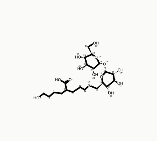 O=C(O)C(CCCCO)CCCSC[C@H]1O[C@H](O[C@H]2O[C@H](CO)[C@@H](O)[C@H](O)[C@H]2O)[C@H](O)[C@@H](O)[C@@H]1O